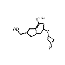 Cl.OCC1Cc2cc(OC3CNC3)cc(F)c2C1